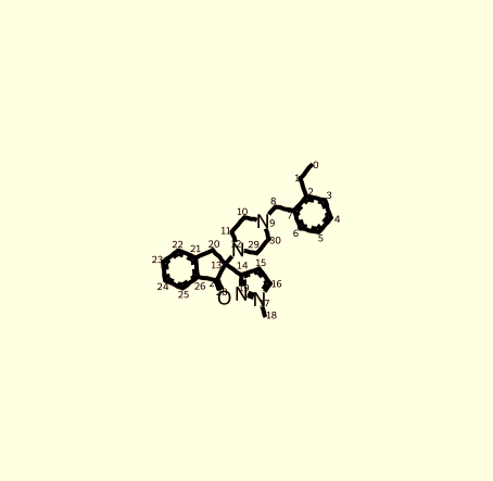 CCc1ccccc1CN1CCN(C2(c3ccn(C)n3)Cc3ccccc3C2=O)CC1